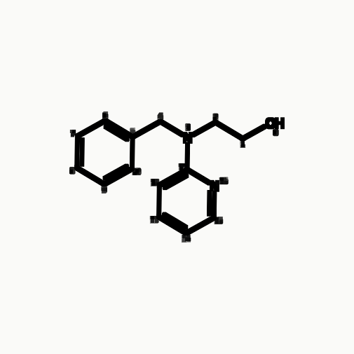 OCCN(Cc1ccccc1)c1ccccn1